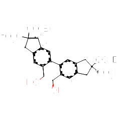 CCOC(=O)C1(C(=O)OCC)Cc2cc(CO)c(-c3cc4c(cc3CO)CC(C(=O)OCC)(C(=O)OCC)C4)cc2C1